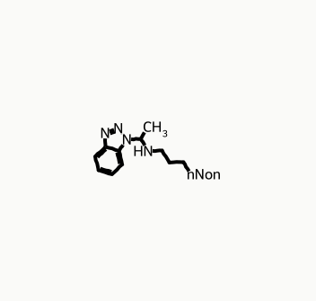 CCCCCCCCCCCCNC(C)n1nnc2ccccc21